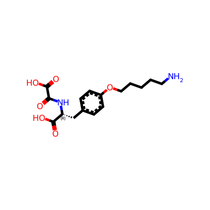 NCCCCCOc1ccc(C[C@@H](NC(=O)C(=O)O)C(=O)O)cc1